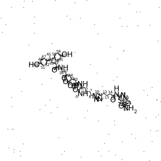 CNC(=O)[C@H](CCCCn1cc(CCCC(=O)Nc2nnc(S(N)(=O)=O)s2)nn1)NC(=O)CC(CC(=O)CCNC(=O)CCC(C)(c1ccc(O)cc1)c1ccc(O)cc1)C(=O)O